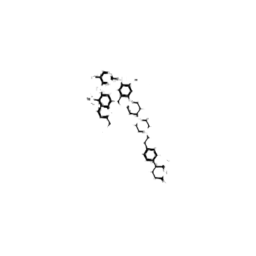 CCc1ccc2c(P(C)(C)=O)c(Nc3nc(Nc4cc(CC)c(N5CCC(N6CCN(CCc7ccc(C8CCC(=O)NC8=O)cc7)CC6)CC5)cc4OC)ncc3Br)ccc2n1